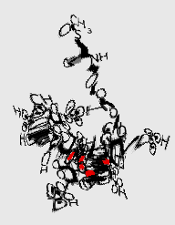 CO[C@H]1O[C@H](COS(=O)(=O)O)[C@@H](O[C@@H]2O[C@@H](C(=O)O)[C@@H](O[C@H]3O[C@H](COS(=O)(=O)O)[C@@H](O[C@@H]4O[C@H](C(=O)O)[C@@H](O[C@H]5O[C@H](COS(=O)(=O)O)[C@@H](OCCOCCOCCOCCNC(=O)CCSC(C)=O)[C@H](OC)[C@H]5OC)[C@H](OC)[C@H]4OC)[C@H](OS(=O)(=O)O)[C@H]3OS(=O)(=O)O)[C@H](OC)[C@H]2OC)[C@H](OS(=O)(=O)O)[C@H]1OS(=O)(=O)O